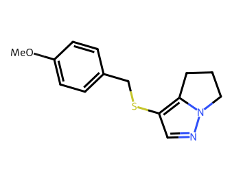 COc1ccc(CSc2cnn3c2CCC3)cc1